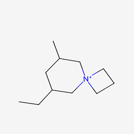 CCC1CC(C)C[N+]2(CCC2)C1